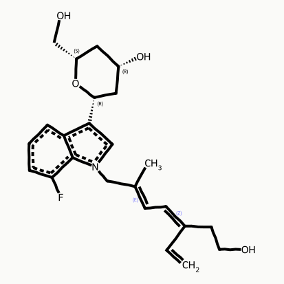 C=C/C(=C\C=C(/C)Cn1cc([C@H]2C[C@@H](O)C[C@@H](CO)O2)c2cccc(F)c21)CCO